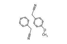 COc1ccc(CC#N)cc1.N#CCc1ccccc1